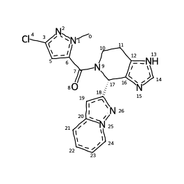 Cn1nc(Cl)cc1C(=O)N1CCc2[nH]cnc2[C@@H]1c1cc2ccccn2n1